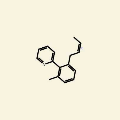 C/C=C\Cc1cccc(C)c1-c1ccccn1